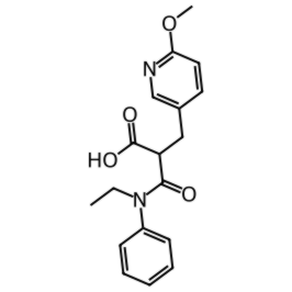 CCN(C(=O)C(Cc1ccc(OC)nc1)C(=O)O)c1ccccc1